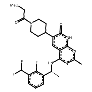 COCC(=O)N1CCC(c2cc3c(N[C@H](C)c4cccc(C(F)F)c4F)nc(C)nc3[nH]c2=O)CC1